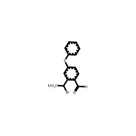 CCOC(=O)C(Br)c1cc(Sc2ccccc2)ccc1C(=O)CC